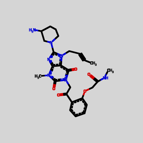 CC#CCn1c(N2CCCC(N)C2)nc2c1c(=O)n(CC(=O)c1ccccc1OCC(=O)NC)c(=O)n2C